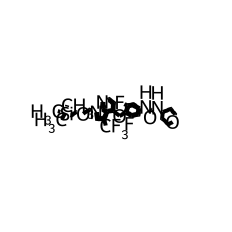 C[Si](C)(C)CCOCn1cc(C(F)(F)F)c2c(Oc3c(F)cc(NC(=O)NC4CCOCC4)cc3F)ccnc21